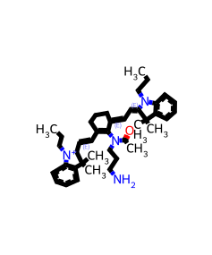 CCCN1/C(=C/C=C2\CCCC(/C=C/C3=[N+](CCC)c4ccccc4C3(C)C)=C2N(CCCN)C(C)=O)C(C)(C)c2ccccc21